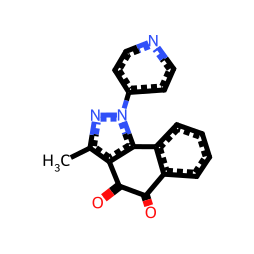 Cc1nn(-c2ccncc2)c2c1C(=O)C(=O)c1ccccc1-2